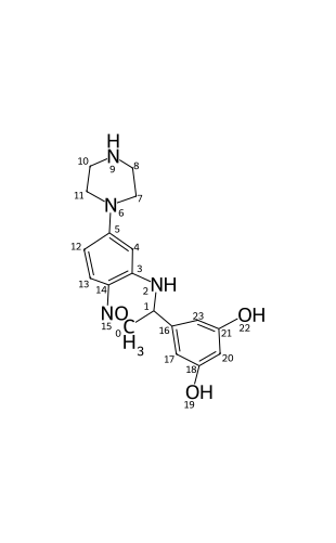 CC(Nc1cc(N2CCNCC2)ccc1N=O)c1cc(O)cc(O)c1